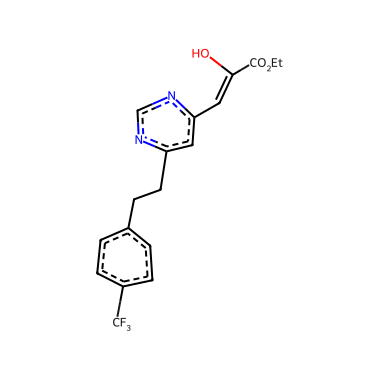 CCOC(=O)/C(O)=C/c1cc(CCc2ccc(C(F)(F)F)cc2)ncn1